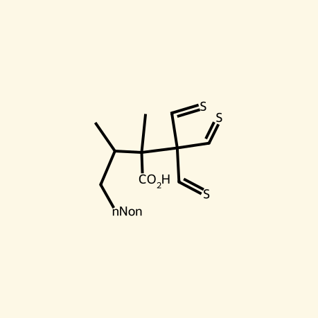 CCCCCCCCCCC(C)C(C)(C(=O)O)C(C=S)(C=S)C=S